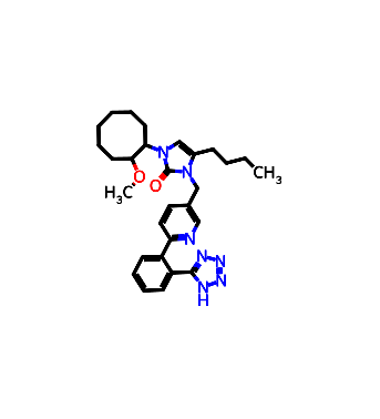 CCCCc1cn(C2CCCCCCC2OC)c(=O)n1Cc1ccc(-c2ccccc2-c2nnn[nH]2)nc1